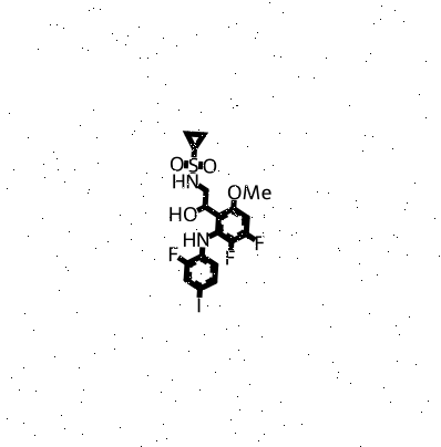 COc1cc(F)c(F)c(Nc2ccc(I)cc2F)c1C(O)CNS(=O)(=O)C1CC1